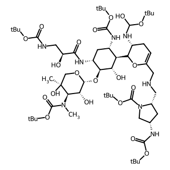 CN(C(=O)OC(C)(C)C)[C@@H]1[C@@H](O)[C@@H](O[C@@H]2[C@@H](O)[C@H](C3OC(CNC[C@@H]4C[C@H](NC(=O)OC(C)(C)C)CN4C(=O)OC(C)(C)C)=CC[C@H]3NC(O)OC(C)(C)C)[C@@H](NC(=O)OC(C)(C)C)C[C@H]2NC(=O)[C@@H](O)CNC(=O)OC(C)(C)C)OC[C@]1(C)O